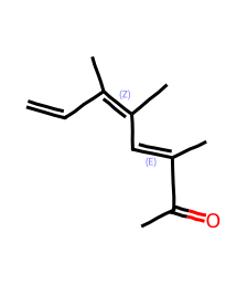 C=C/C(C)=C(C)\C=C(/C)C(C)=O